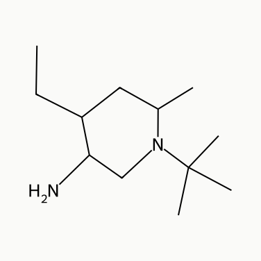 CCC1CC(C)N(C(C)(C)C)CC1N